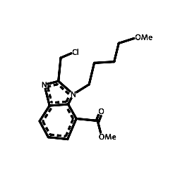 COCCCCn1c(CCl)nc2cccc(C(=O)OC)c21